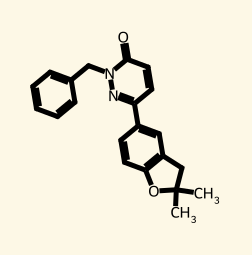 CC1(C)Cc2cc(-c3ccc(=O)n(Cc4ccccc4)n3)ccc2O1